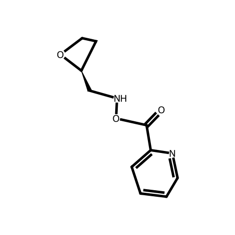 O=C(ONC[C@@H]1CCO1)c1ccccn1